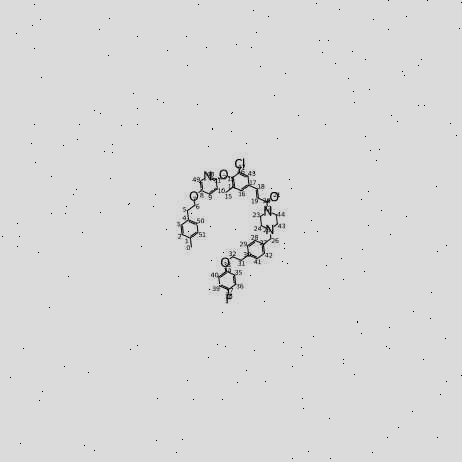 Cc1ccc(CCOc2ccc(Oc3c(C)cc(C=CC(=O)N4CCN(Cc5ccc(CCOc6ccc(F)cc6)cc5)CC4)cc3Cl)nc2)cc1